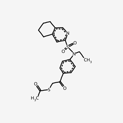 CCN(c1ccc(C(=O)CSC(C)=O)cc1)S(=O)(=O)c1cc2c(cn1)CCCC2